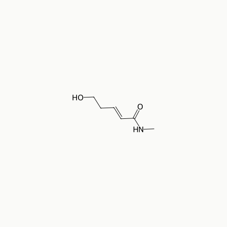 CNC(=O)C=CCCO